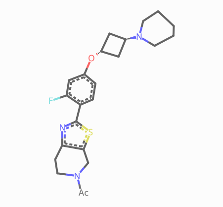 CC(=O)N1CCc2nc(-c3ccc(O[C@H]4C[C@H](N5CCCCC5)C4)cc3F)sc2C1